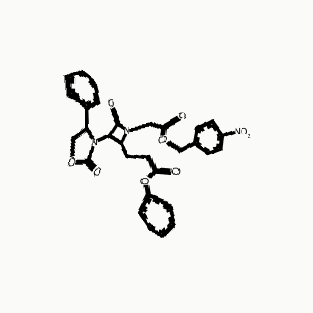 O=C(CN1C(=O)C(N2C(=O)OCC2c2ccccc2)C1CCC(=O)Oc1ccccc1)OCc1ccc([N+](=O)[O-])cc1